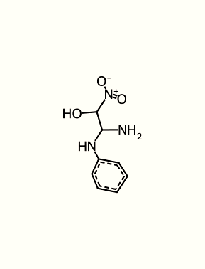 NC(Nc1ccccc1)C(O)[N+](=O)[O-]